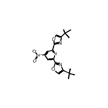 CC(C)(C)c1coc(-c2cc([N+](=O)[O-])cc(-c3nc(C(C)(C)C)co3)n2)n1